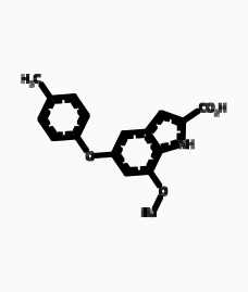 CCC(C)Oc1cc(Oc2ccc(C)cc2)cc2cc(C(=O)O)[nH]c12